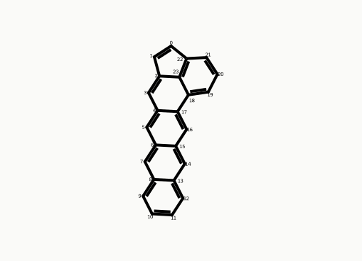 C1=Cc2cc3cc4cc5ccccc5cc4cc3c3cccc1c23